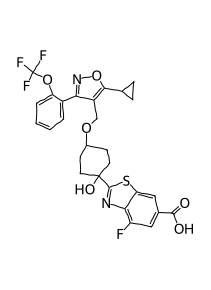 O=C(O)c1cc(F)c2nc(C3(O)CCC(OCc4c(-c5ccccc5OC(F)(F)F)noc4C4CC4)CC3)sc2c1